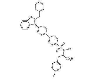 CCN(C(Cc1ccc(F)cc1)C(=O)O)S(=O)(=O)c1ccc(-c2ccc(-c3c(Cc4ccccc4)oc4ccccc34)cc2)cc1